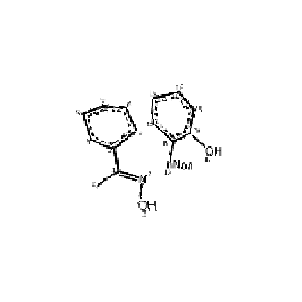 CC(=NO)c1ccccc1.CCCCCCCCCc1ccccc1O